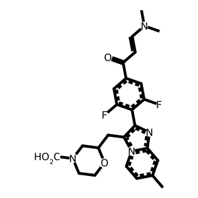 Cc1ccn2c(CC3CN(C(=O)O)CCO3)c(-c3c(F)cc(C(=O)/C=C/N(C)C)cc3F)nc2c1